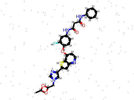 CC1OC(Cn2cnc(-c3cc4nccc(Oc5ccc(NC(=O)CC(=O)Nc6ccccc6)cc5F)c4s3)c2)O1